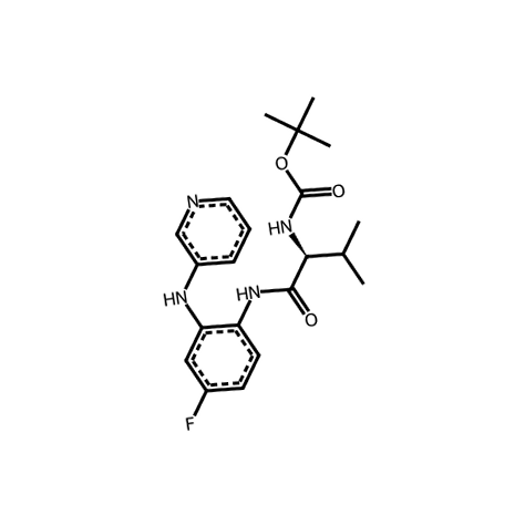 CC(C)[C@H](NC(=O)OC(C)(C)C)C(=O)Nc1ccc(F)cc1Nc1cccnc1